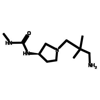 CNC(=O)N[C@@H]1CCN(CC(C)(C)CN)C1